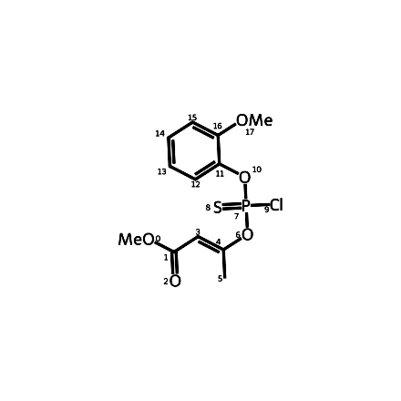 COC(=O)C=C(C)OP(=S)(Cl)Oc1ccccc1OC